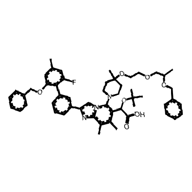 Cc1cc(F)c(-c2cccc(-c3cn4c(N5CCC(C)(OCCOCC(C)OCc6ccccc6)CC5)c(C(OC(C)(C)C)C(=O)O)c(C)c(C)c4n3)c2)c(OCc2ccccc2)c1